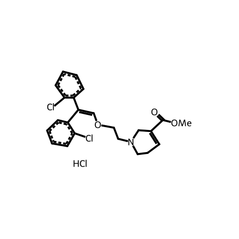 COC(=O)C1=CCCN(CCOC=C(c2ccccc2Cl)c2ccccc2Cl)C1.Cl